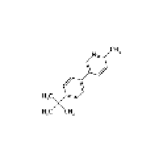 Cc1ccc(-c2ccc(C(C)(C)C)cc2)cn1